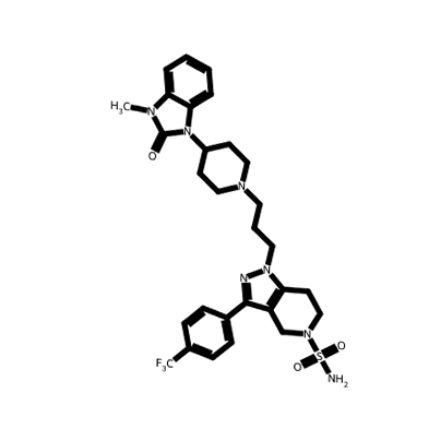 Cn1c(=O)n(C2CCN(CCCn3nc(-c4ccc(C(F)(F)F)cc4)c4c3CCN(S(N)(=O)=O)C4)CC2)c2ccccc21